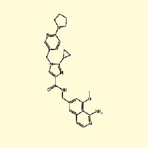 COc1cc(CNC(=O)c2cn(Cc3ccc(N4CCCC4)nc3)c(C3CC3)n2)cc2ccnc(N)c12